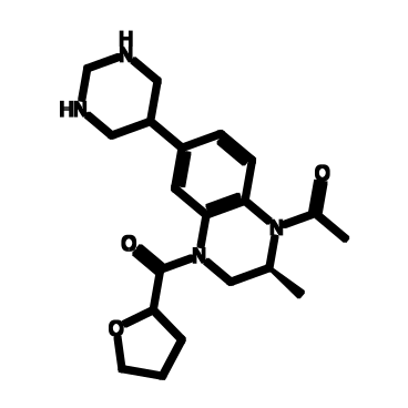 CC(=O)N1c2ccc(C3CNCNC3)cc2N(C(=O)C2CCCO2)C[C@@H]1C